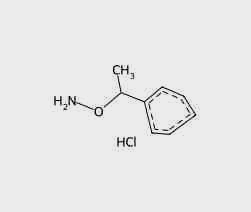 CC(ON)c1ccccc1.Cl